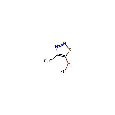 CCOc1snnc1C(Cl)(Cl)Cl